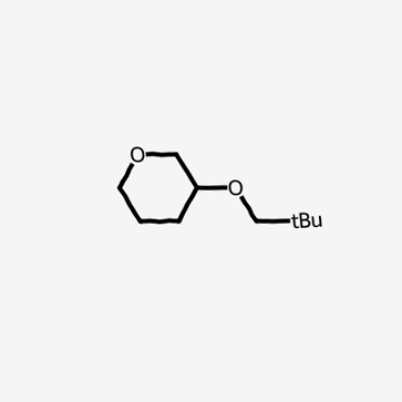 CC(C)(C)COC1CCCOC1